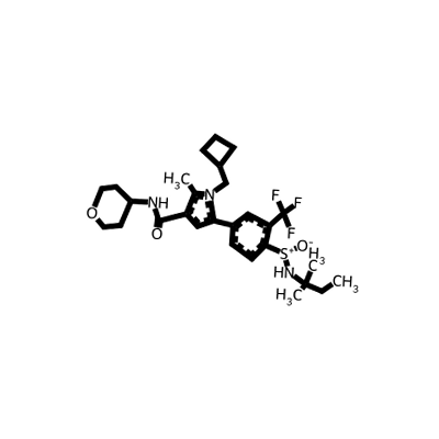 CCC(C)(C)N[S+]([O-])c1ccc(-c2cc(C(=O)NC3CCOCC3)c(C)n2CC2CCC2)cc1C(F)(F)F